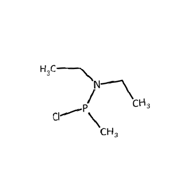 CCN(CC)P(C)Cl